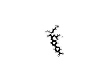 CCCN(CCCO)C(=O)C1=Cc2ccc(-c3ccc(C(=O)I)cc3)cc2N=C(N)C1